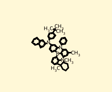 Cc1cc2c3c(c1)N1c4c(cccc4C4(C)CCCCC14C)B3c1ccc(N(c3ccc(C(C)(C)C)cc3)c3ccc4ccccc4c3)cc1N2c1ccccc1